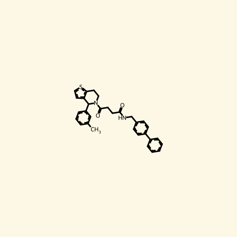 Cc1cccc(C2c3ccsc3CCN2C(=O)CCC(=O)NCc2ccc(-c3ccccc3)cc2)c1